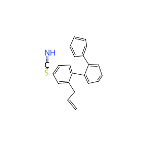 C=CCc1ccccc1-c1ccccc1-c1ccccc1.N=C=S